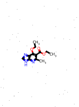 CCOC(=O)c1c(C)nc2[nH]cnc2c1OCC